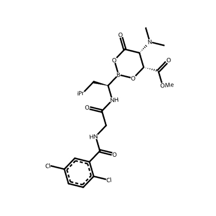 COC(=O)[C@@H]1OB([C@H](CC(C)C)NC(=O)CNC(=O)c2cc(Cl)ccc2Cl)OC(=O)[C@@H]1N(C)C